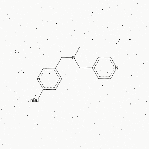 CCCCc1[c]cc(CN(C)Cc2ccncc2)cc1